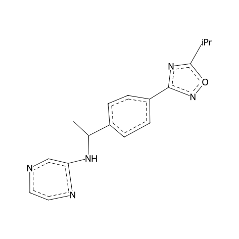 CC(C)c1nc(-c2ccc(C(C)Nc3cnccn3)cc2)no1